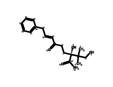 CC(C)(CO)[C@](O)(CCC(=O)/C=C/Cc1ccccc1)C(N)=O